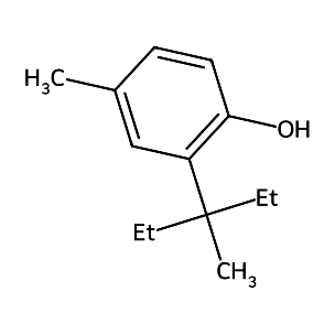 CCC(C)(CC)c1cc(C)ccc1O